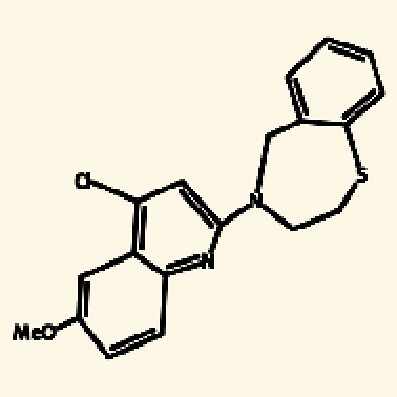 COc1ccc2nc(N3CCSc4ccccc4C3)cc(Cl)c2c1